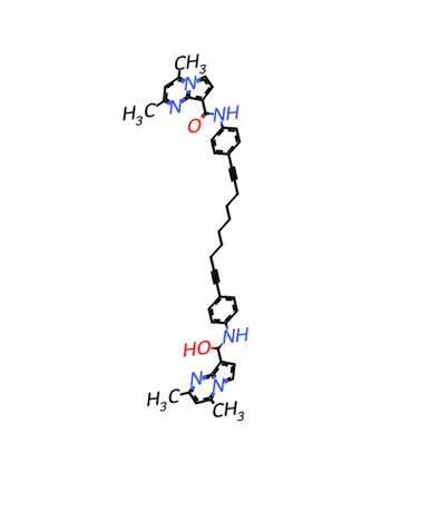 Cc1cc(C)n2ccc(C(=O)Nc3ccc(C#CCCCCCCC#Cc4ccc(NC(O)c5ccn6c(C)cc(C)nc56)cc4)cc3)c2n1